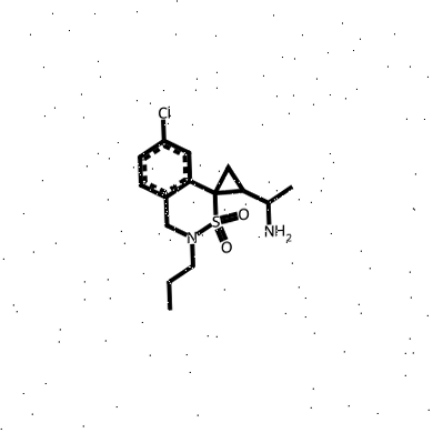 CCCN1Cc2ccc(Cl)cc2C2(CC2C(C)N)S1(=O)=O